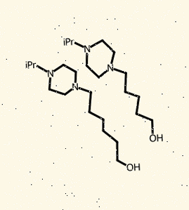 CC(C)N1CCN(CCCCCCO)CC1.CC(C)N1CCN(CCCCCO)CC1